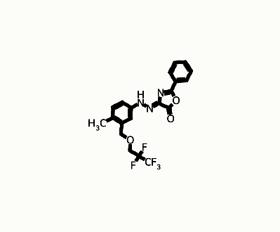 Cc1ccc(NN=C2N=C(c3ccccc3)OC2=O)cc1COCC(F)(F)C(F)(F)F